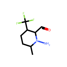 CC1CCC(C(F)(F)F)C(C=O)N1N